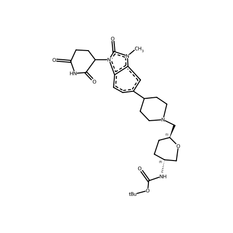 Cn1c(=O)n(C2CCC(=O)NC2=O)c2ccc(C3CCN(C[C@@H]4CC[C@@H](NC(=O)OC(C)(C)C)CO4)CC3)cc21